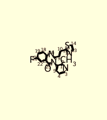 Cc1ncccc1-n1c(C=Cc2nccs2)nc2ccc(F)cc2c1=O